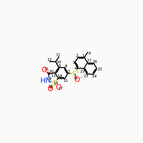 Cc1ccc([S+]([O-])c2cc(C(C)C)c3c(c2)S(=O)(=O)NC3=O)c2ccccc12